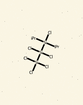 CC(C)[Si](Cl)(C(C)C)[Si](Cl)(Cl)[Si](Cl)(Cl)Cl